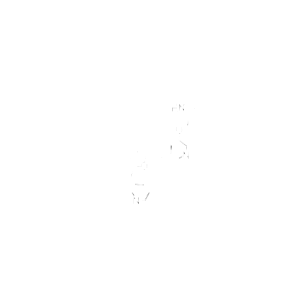 c1cncc(C[C@H]2CC[C@H](CCc3cncc(OC[C@@H]4CCN4)c3)O2)c1